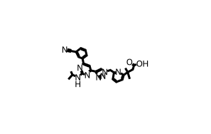 CC(C)Nc1nc(-c2cccc(C#N)c2)cc(-c2cn(Cc3cccc(C(C)(C)CC(=O)O)n3)nn2)n1